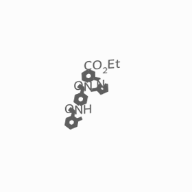 CCOC(=O)c1ccc2c(c1)Cn1cccc1CN2C(=O)c1ccc(NC(=O)c2ccccc2C)cc1